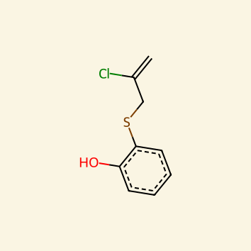 C=C(Cl)CSc1ccccc1O